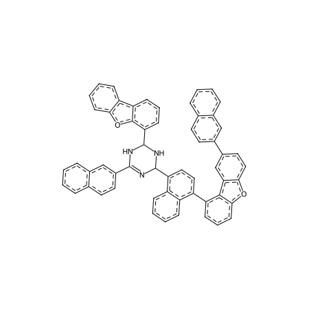 c1ccc2cc(C3=NC(c4ccc(-c5cccc6oc7ccc(-c8ccc9ccccc9c8)cc7c56)c5ccccc45)NC(c4cccc5c4oc4ccccc45)N3)ccc2c1